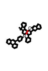 CC1(C)c2ccccc2-c2ccc(N(c3ccc(-c4cc5ccccc5c5ccccc45)cc3)c3ccccc3-c3ccc4oc5cc6ccccc6cc5c4c3)cc21